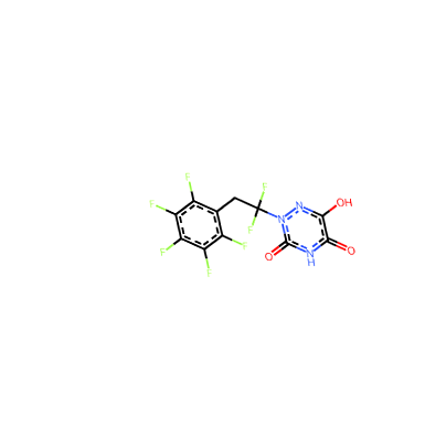 O=c1[nH]c(=O)n(C(F)(F)Cc2c(F)c(F)c(F)c(F)c2F)nc1O